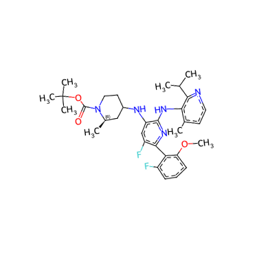 COc1cccc(F)c1-c1nc(Nc2c(C)ccnc2C(C)C)c(NC2CCN(C(=O)OC(C)(C)C)[C@H](C)C2)cc1F